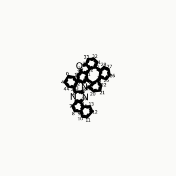 c1ccc(-c2nc3ccc4ccccc4c3nc2-n2c3cccc4c5ccccc5c5cccc6oc7ccc2c(c7c65)c43)cc1